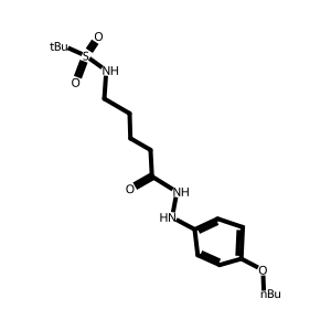 CCCCOc1ccc(NNC(=O)CCCCNS(=O)(=O)C(C)(C)C)cc1